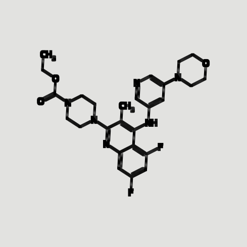 CCOC(=O)N1CCN(c2nc3cc(F)cc(F)c3c(Nc3cncc(N4CCOCC4)c3)c2C)CC1